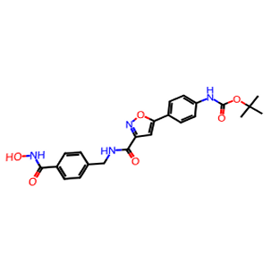 CC(C)(C)OC(=O)Nc1ccc(-c2cc(C(=O)NCc3ccc(C(=O)NO)cc3)no2)cc1